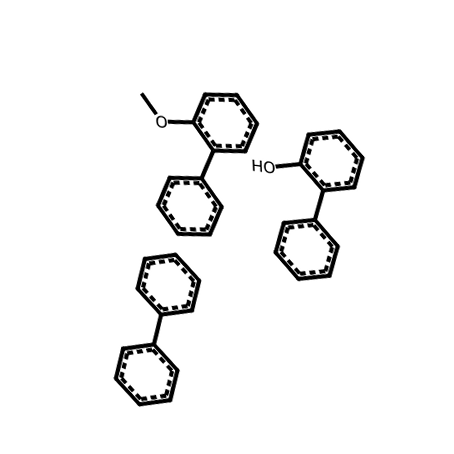 COc1ccccc1-c1ccccc1.Oc1ccccc1-c1ccccc1.c1ccc(-c2ccccc2)cc1